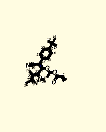 C=CC(=O)OC(C)O/C(=C(/C#N)c1ccc(C(C)(C)C)cc1)c1c(C)c(C)nn1C